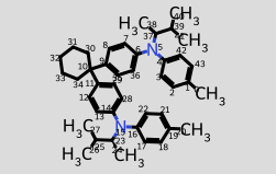 Cc1ccc(N(c2ccc(C3(c4ccc(N(c5ccc(C)cc5)[C@@H](C)C(C)C)cc4)CCCCC3)cc2)C(C)C(C)C)cc1